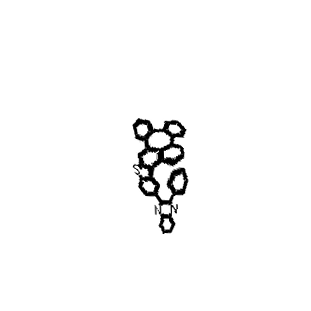 c1ccc(-c2nc3ccccc3nc2-c2ccc3sc4cc5c6c(cccc6c4c3c2)-c2ccccc2-c2ccccc2-5)cc1